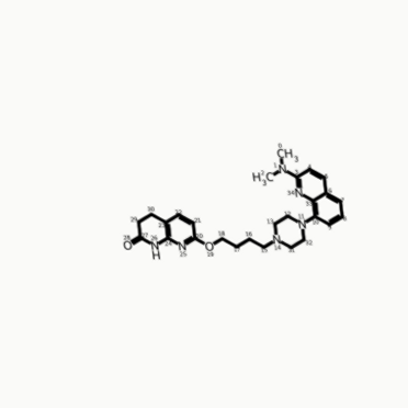 CN(C)c1ccc2cccc(N3CCN(CCCCOc4ccc5c(n4)NC(=O)CC5)CC3)c2n1